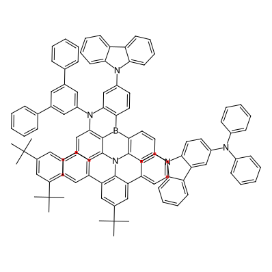 CC(C)(C)c1cc(-c2cc3c4c(c2)N(c2c(-c5ccccc5)cc(C(C)(C)C)cc2-c2ccccc2)c2cc(-n5c6ccccc6c6cc(N(c7ccccc7)c7ccccc7)ccc65)ccc2B4c2ccc(-n4c5ccccc5c5ccccc54)cc2N3c2cc(-c3ccccc3)cc(-c3ccccc3)c2)cc(C(C)(C)C)c1